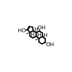 C[C@]12CC[C@H](O)C[C@@H]1C[C@H](O)[C@@H]1[C@@H]2CC[C@]2(C)C(O)=CC[C@@H]12